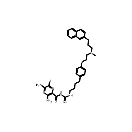 CN(CCCc1ccc2ccccc2c1)CCOc1ccc(CCCCNC(=N)NC(=O)c2nc(Cl)c(N)nc2N)cc1